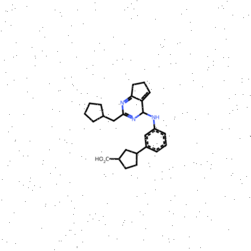 O=C(O)C1CCC(c2cccc(NC3N=C(CC4CCCC4)N=C4CCC=C43)c2)C1